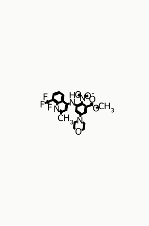 COC(=O)c1cc(N2CCOCC2)cc(Nc2cc(C)nc3c(C(F)(F)F)cccc23)c1[N+](=O)[O-]